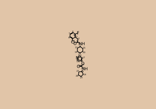 O=C(Cc1c(F)cccc1Cl)N[C@H]1CC[C@@H](n2cc(OC(=O)NC3CCCC3)nn2)CC1